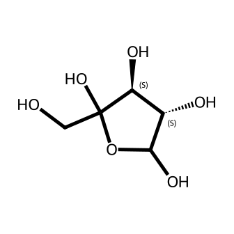 OCC1(O)OC(O)[C@@H](O)[C@@H]1O